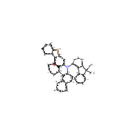 CC1(C)C2=CCCC(N(c3ccc4c(c3)sc3ccccc34)c3ccc4ccccc4c3-c3ccccc3)=C2c2ccccc21